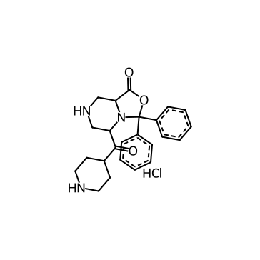 Cl.O=C1OC(c2ccccc2)(c2ccccc2)N2C1CNCC2C(=O)C1CCNCC1